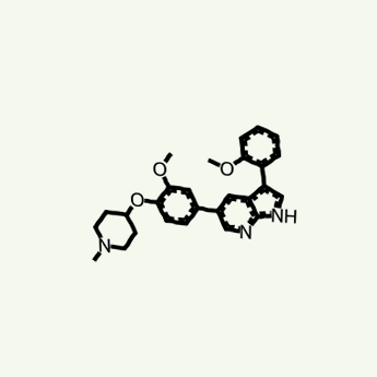 COc1cc(-c2cnc3[nH]cc(-c4ccccc4OC)c3c2)ccc1OC1CCN(C)CC1